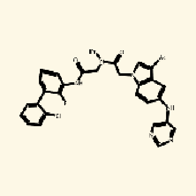 CC(=O)c1cn(CC(=O)N(CC(=O)Nc2cccc(-c3ccccc3Cl)c2F)C(C)C)c2ccc(Nc3cncnc3)cc12